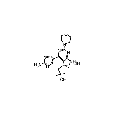 CC(C)(O)Cc1n[nH]c2nc(N3CCOCC3)nc(-c3cnc(N)nc3)c12.Cl